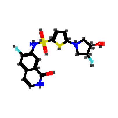 O=c1[nH]ccc2cc(F)c(NS(=O)(=O)c3ccc(N4C[C@H](O)[C@@H](F)C4)s3)cc12